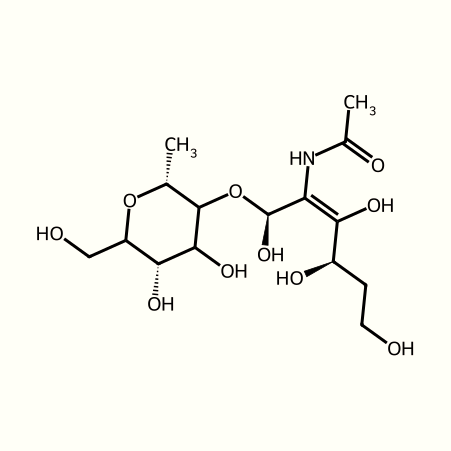 CC(=O)N/C(=C(\O)[C@H](O)CCO)[C@@H](O)OC1C(O)[C@H](O)C(CO)O[C@@H]1C